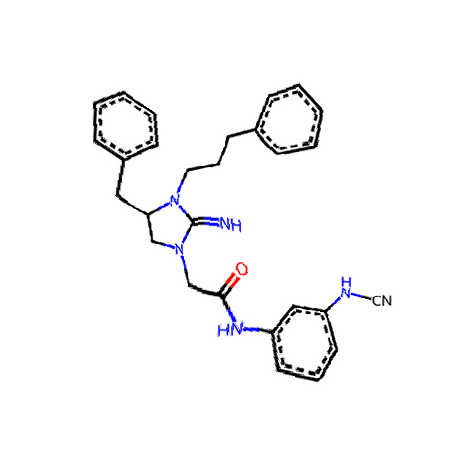 N#CNc1cccc(NC(=O)CN2CC(Cc3ccccc3)N(CCCc3ccccc3)C2=N)c1